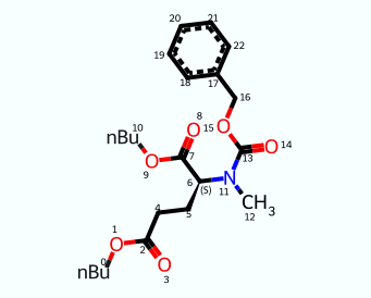 CCCCOC(=O)CC[C@@H](C(=O)OCCCC)N(C)C(=O)OCc1ccccc1